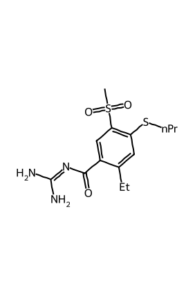 CCCSc1cc(CC)c(C(=O)N=C(N)N)cc1S(C)(=O)=O